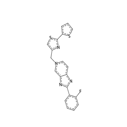 Fc1ccccc1-c1nc2ccn(Cc3csc(-c4cccs4)n3)cc-2n1